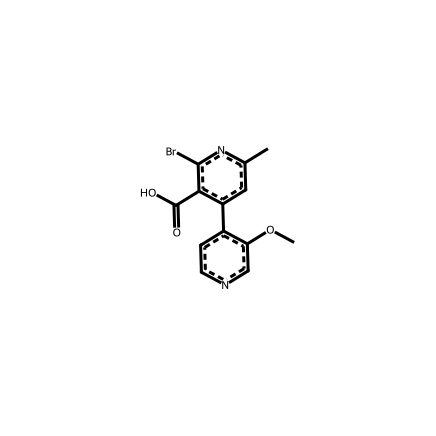 COc1cnccc1-c1cc(C)nc(Br)c1C(=O)O